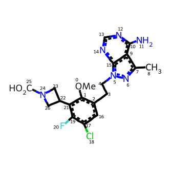 COc1c(CCn2nc(C)c3c(N)ncnc32)cc(Cl)c(F)c1C1CN(C(=O)O)C1